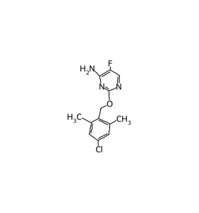 Cc1cc(Cl)cc(C)c1COc1ncc(F)c(N)n1